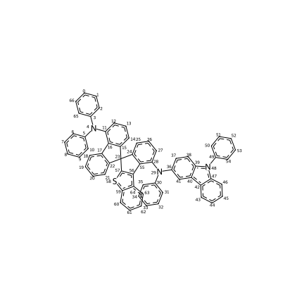 c1ccc(N(c2ccccc2)c2cccc3c2-c2ccccc2C32c3cccc(N(c4ccccc4)c4ccc5c(c4)c4ccccc4n5-c4ccccc4)c3-c3c2sc2ccccc32)cc1